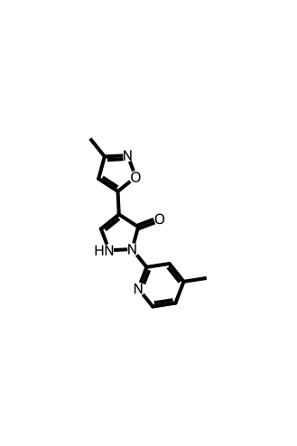 Cc1ccnc(-n2[nH]cc(-c3cc(C)no3)c2=O)c1